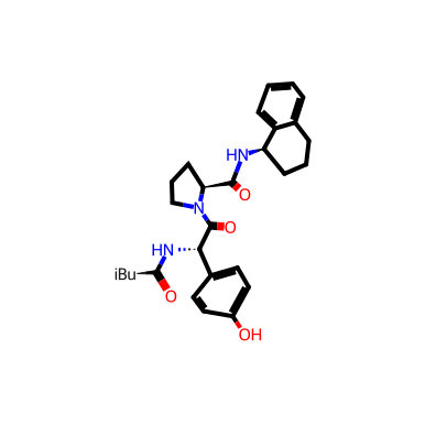 CC[C@H](C)C(=O)N[C@H](C(=O)N1CCC[C@H]1C(=O)N[C@@H]1CCCc2ccccc21)c1ccc(O)cc1